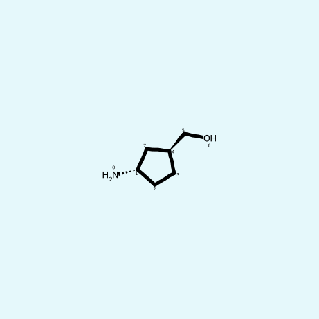 N[C@H]1CC[C@H](CO)C1